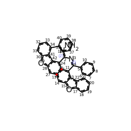 N/N=C(\N=C(\c1ccccc1)c1cccc2oc3ccccc3c12)c1cccc2oc3cccc(-c4ccccc4)c3c12